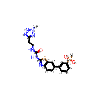 CC(C)n1nnc(CCNC(=O)Nc2nc3ccc(-c4cccc(S(C)(=O)=O)c4)cc3s2)n1